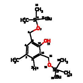 [2H]c1c(C)cc(CO[Si](C)(C)C(C)(C)C)c(O)c1CO[Si](C)(C)C(C)(C)C